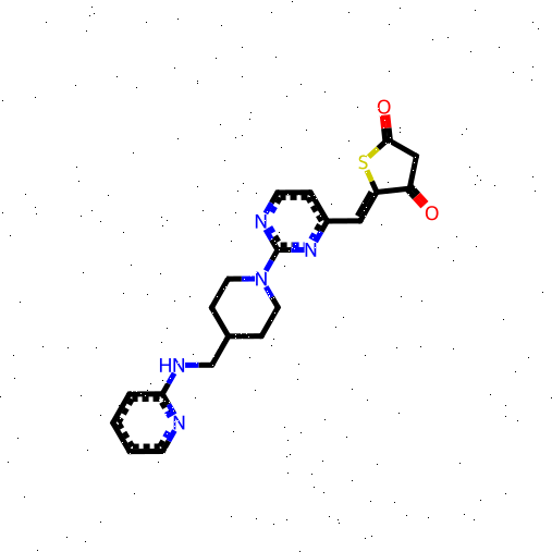 O=C1CC(=O)/C(=C/c2ccnc(N3CCC(CNc4ccccn4)CC3)n2)S1